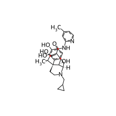 Cc1ccnc(NC(=O)C2=C(O)[C@H](C)[C@]34CCN(CC5CC5)[C@H](Cc5ccc(O)c(O)c53)[C@]4(O)C2)c1